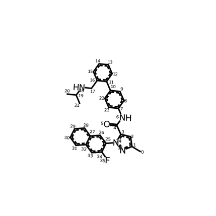 Cc1cc(C(=O)Nc2ccc(-c3ccccc3CNC(C)C)cc2)n(-c2cc3ccccc3cc2F)n1